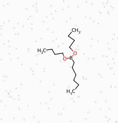 CCCCCCB(OCCCC)OCCCC